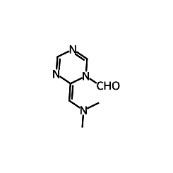 CN(C)/C=C1/N=CN=CN1C=O